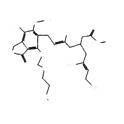 COCCOCOc1c(C/C=C(\C)CC(CC(=O)OC)C/C(C)=C/CN)c(OC)c(C)c2c1C(=O)OC2